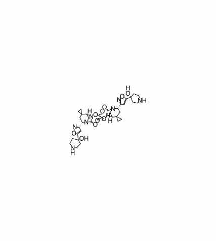 O=C1N2C[C@H](N1OS(=O)(=O)ON1C(=O)N3C[C@H]1C1(CC1)C[C@H]3c1cc(C3(O)CCNCC3)on1)C1(CC1)C[C@H]2c1cc(C2(O)CCNCC2)on1